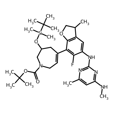 CNc1cc(C)nc(Nc2cc3c(c(C4=CCN(C(=O)OC(C)(C)C)CC(O[Si](C)(C)C(C)(C)C)C4)c2F)OCC3C)n1